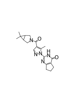 Cc1c(C(=O)N2CC3C(C2)C3(C)C)cnn1-c1nc2c(c(=O)[nH]1)CCC2